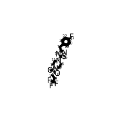 O=S(=O)(CCC(F)(F)F)N1CCN(c2nc(Cc3ccc(F)cc3)ns2)CC1